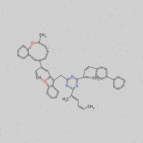 C=C/C(=C\c1oc2ccccc2c1Cc1nc(/C(C)=C/C=C\C)nc(C(/C=C\c2ccc(-c3ccccc3)cc2)=C/C)n1)c1cccc(C)oc2ccccc2c1